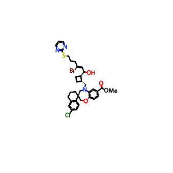 COC(=O)c1ccc2c(c1)N(C[C@@H]1CC[C@H]1C(O)/C=C(\Br)CCCSc1ncccn1)C[C@@]1(CCCc3cc(Cl)ccc31)CO2